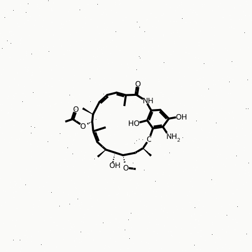 CO[C@H]1C[C@H](C)Cc2c(N)c(O)cc(c2O)NC(=O)/C(C)=C/C=C\[C@H](C)[C@@H](OC(C)=O)/C(C)=C/[C@H](C)[C@H]1O